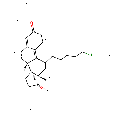 C[C@]12CC(CCCCCCl)C3=C4CCC(=O)C=C4CC[C@H]3[C@@H]1CCC2=O